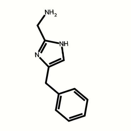 NCc1nc(Cc2ccccc2)c[nH]1